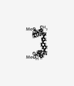 COC(=O)NC(C(=O)N1C[C@H](C)C[C@H]1c1ncc(-c2ccc(-c3ccc4cc(-c5cnc([C@@H]6CCCN6C(=O)[C@@H](NC(=O)OC)C(C)C)[nH]5)ccc4c3)cc2)[nH]1)c1cnccn1